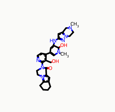 CN1CCn2nc(NC3=CC(c4ccnc(N5CCn6c(cc7c6CCCC7)C5=O)c4CO)=CN(C)C3O)cc2C1